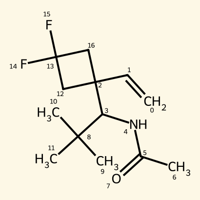 C=CC1(C(NC(C)=O)C(C)(C)C)CC(F)(F)C1